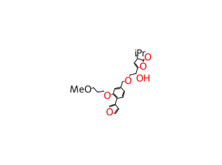 COCCCOc1cc(COCC(O)C2=CC(C(C)C)C(=O)O2)ccc1-c1ccoc1